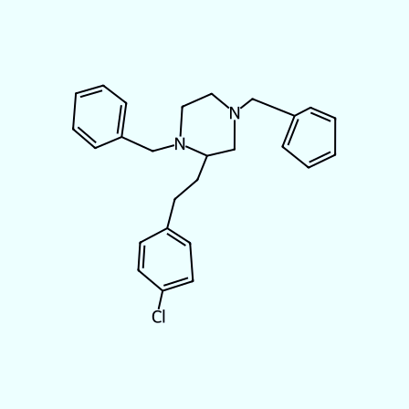 Clc1ccc(CCC2CN(Cc3ccccc3)CCN2Cc2ccccc2)cc1